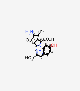 CC(C)CC(N)C(=O)O.NC(Cc1ccc(O)cc1)C(=O)O.O=C(O)[C@@H]1CCCN1